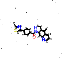 CCc1c(NC(=O)c2ccc(-c3csc(C)n3)cc2)cc2ncccc2c1C